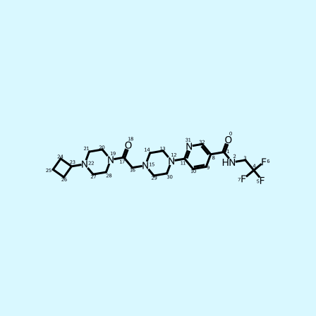 O=C(NCC(F)(F)F)c1ccc(N2CCN(CC(=O)N3CCN(C4CCC4)CC3)CC2)nc1